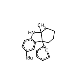 CC(C)(C)c1ccc2c(c1)C1(c3ccccc3)CCCCC1(C)N2